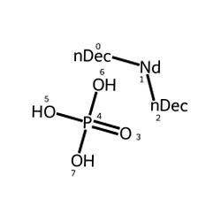 CCCCCCCCC[CH2][Nd][CH2]CCCCCCCCC.O=P(O)(O)O